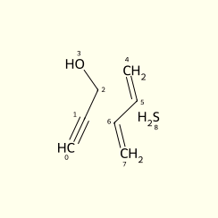 C#CCO.C=CC=C.S